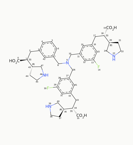 O=C(O)[C@@H](Cc1cccc(CN(Cc2cc(F)cc(C[C@H](C(=O)O)[C@H]3CCNC3)c2)Cc2cc(F)cc(C[C@H](C(=O)O)[C@H]3CCNC3)c2)c1)[C@H]1CCNC1